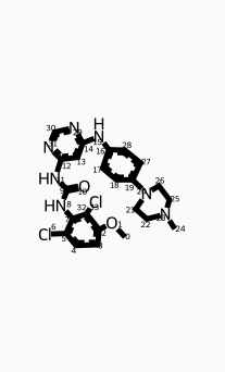 COc1ccc(Cl)c(NC(=O)Nc2cc(Nc3ccc(N4CCN(C)CC4)cc3)ncn2)c1Cl